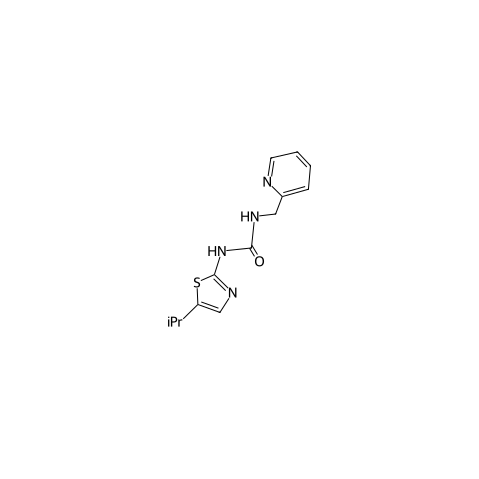 CC(C)c1cnc(NC(=O)NCc2ccccn2)s1